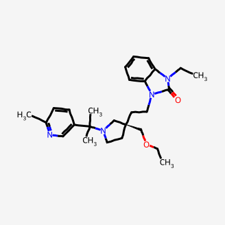 CCOC[C@@]1(CCn2c(=O)n(CC)c3ccccc32)CCN(C(C)(C)c2ccc(C)nc2)C1